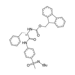 CC(C)(C)N=S(C)(=O)c1ccc(NC(=O)[C@H](Cc2ccccc2)NC(=O)OCC2c3ccccc3-c3ccccc32)cc1